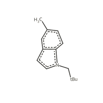 Cc1ccc2c(ccn2CC(C)(C)C)c1